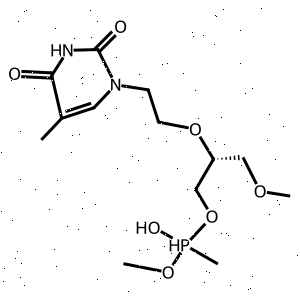 COC[C@H](CO[PH](C)(O)OC)OCCn1cc(C)c(=O)[nH]c1=O